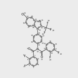 O=C(c1cccc(F)c1F)N(C(=O)c1cccc(F)c1F)c1ccc(-n2c(C(F)(F)F)nc3cc(Cl)ccc32)cc1